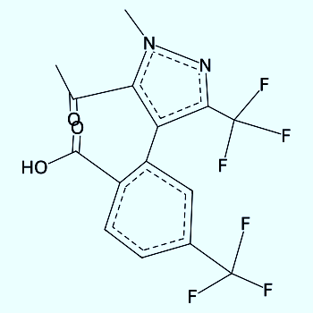 CC(=O)c1c(-c2cc(C(F)(F)F)ccc2C(=O)O)c(C(F)(F)F)nn1C